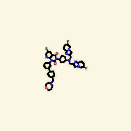 O=c1c2cc(F)cnc2n(-c2cccc(-c3ccc(CN4CCCOCC4)cc3)c2)c(=O)n1C1CCC(N(Cc2cn3cc(F)ccc3n2)Cc2cn3cc(F)ccc3n2)CC1